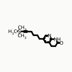 C[Si](C)(C)C#CCCCCc1cnc2c(c1)CCC(=O)N2